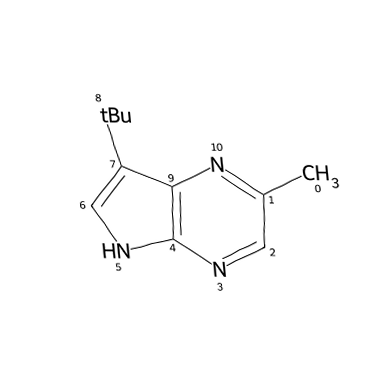 Cc1cnc2[nH]cc(C(C)(C)C)c2n1